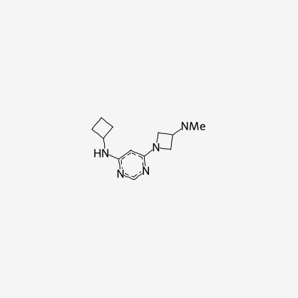 CNC1CN(c2cc(NC3CCC3)ncn2)C1